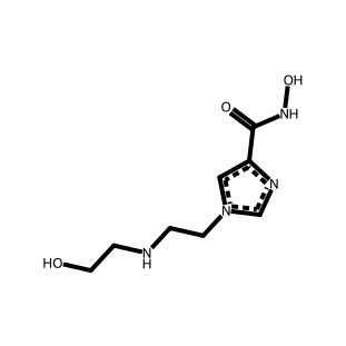 O=C(NO)c1cn(CCNCCO)cn1